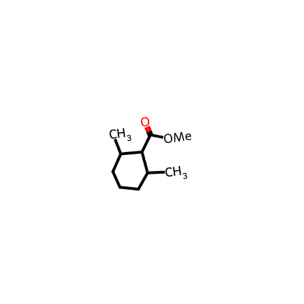 COC(=O)C1C(C)CCCC1C